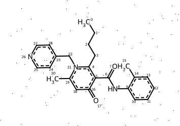 CCCCc1c(C(=O)Nc2ccccc2C)c(=O)cc(C)n1Cc1ccncc1